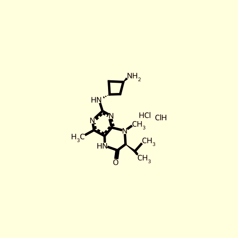 Cc1nc(N[C@H]2C[C@H](N)C2)nc2c1NC(=O)[C@H](C(C)C)N2C.Cl.Cl